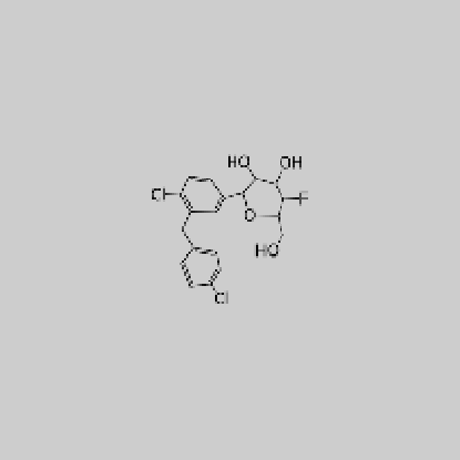 OCC1OC(c2ccc(Cl)c(Cc3ccc(Cl)cc3)c2)C(O)C(O)C1F